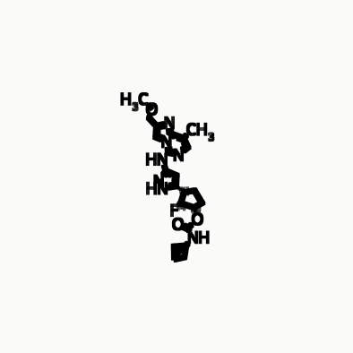 COCc1cn2c(Nc3cc([C@@H]4CC[C@H](OC(=O)NC56CC(C5)C6)[C@H]4F)[nH]n3)ncc(C)c2n1